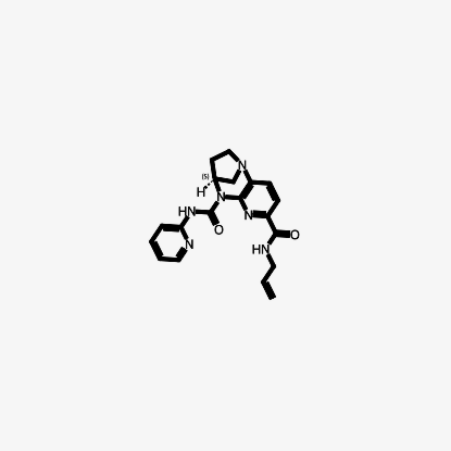 C=CCNC(=O)c1ccc2c(n1)N(C(=O)Nc1ccccn1)[C@H]1CCN2C1